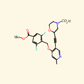 Cc1cc(OCc2c(F)cc(C(=O)OC(C)(C)C)cc2F)c(C#CC2CN(C(=O)O)CCO2)cn1